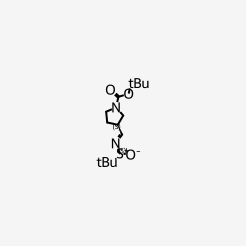 CC(C)(C)OC(=O)N1CC[C@H](C=N[S@+]([O-])C(C)(C)C)C1